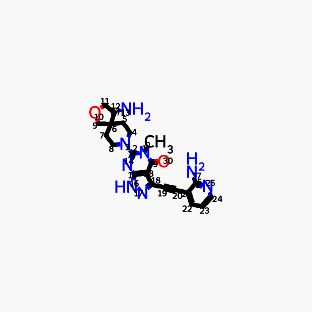 Cn1c(N2CCC3(CC2)COC[C@H]3N)nc2[nH]nc(C#Cc3cccnc3N)c2c1=O